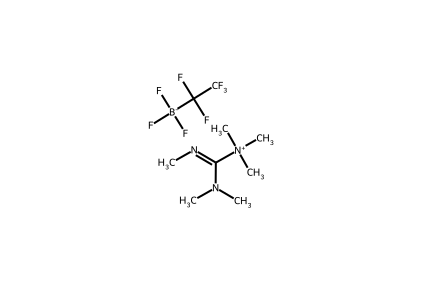 C/N=C(\N(C)C)[N+](C)(C)C.F[B-](F)(F)C(F)(F)C(F)(F)F